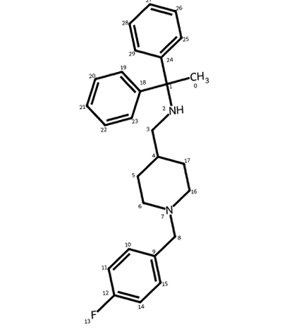 CC(NCC1CCN(Cc2ccc(F)cc2)CC1)(c1ccccc1)c1ccccc1